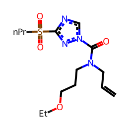 C=CCN(CCCOCC)C(=O)n1cnc(S(=O)(=O)CCC)n1